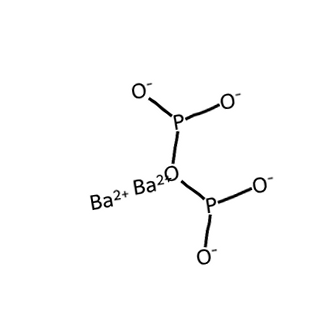 [Ba+2].[Ba+2].[O-]P([O-])OP([O-])[O-]